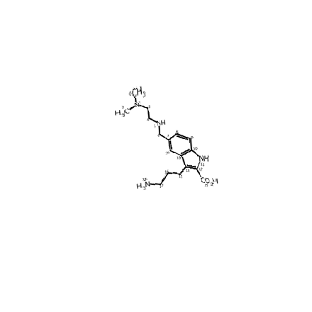 CN(C)CCNCc1ccc2[nH]c(C(=O)O)c(CCCN)c2c1